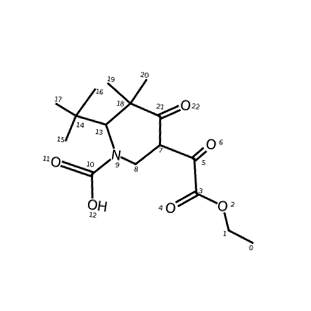 CCOC(=O)C(=O)C1CN(C(=O)O)C(C(C)(C)C)C(C)(C)C1=O